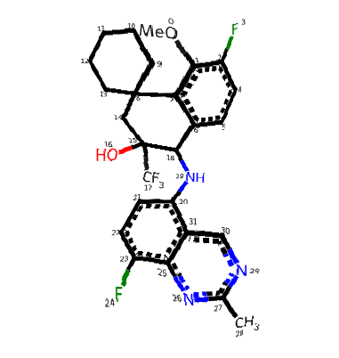 COc1c(F)ccc2c1C1(CCCCC1)CC(O)(C(F)(F)F)C2Nc1ccc(F)c2nc(C)ncc12